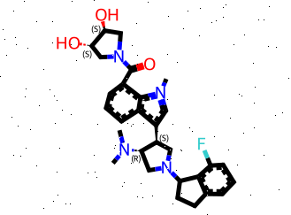 CN(C)[C@H]1CN(C2CCc3cccc(F)c32)C[C@@H]1c1cn(C)c2c(C(=O)N3C[C@H](O)[C@@H](O)C3)cccc12